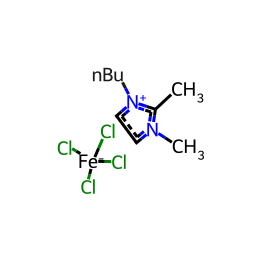 CCCC[n+]1ccn(C)c1C.[Cl][Fe-]([Cl])([Cl])[Cl]